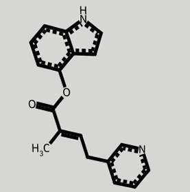 CC(=CCc1cccnc1)C(=O)Oc1cccc2[nH]ccc12